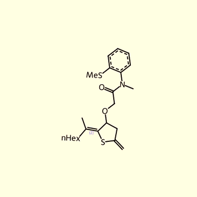 C=C1CC(OCC(=O)N(C)c2ccccc2SC)/C(=C(\C)CCCCCC)S1